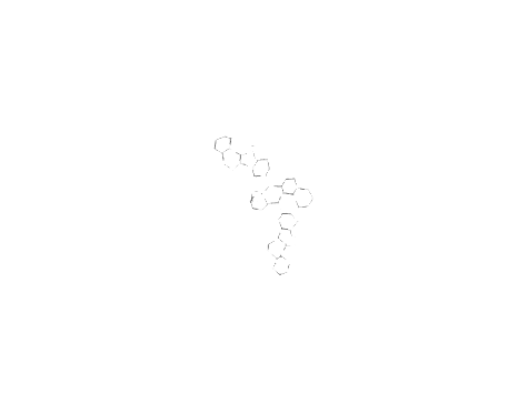 c1ccc2c(c1)ccc1c3cc(-c4c5ccccc5c(-c5ccc6sc7c8ccccc8ccc7c6c5)c5c4ccc4ccccc45)ccc3sc21